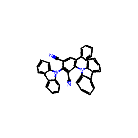 N#Cc1cc(-c2ccccc2)c(-n2c3ccccc3c3ccccc32)c(C#N)c1-n1c2ccccc2c2ccccc21